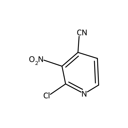 N#Cc1ccnc(Cl)c1[N+](=O)[O-]